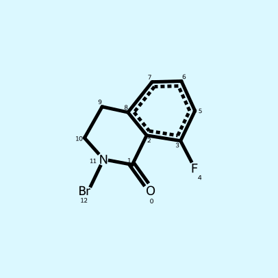 O=C1c2c(F)cccc2CCN1Br